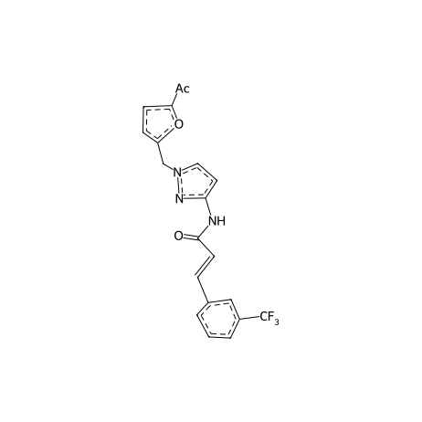 CC(=O)c1ccc(Cn2ccc(NC(=O)C=Cc3cccc(C(F)(F)F)c3)n2)o1